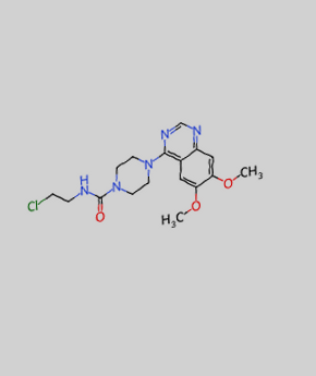 COc1cc2ncnc(N3CCN(C(=O)NCCCl)CC3)c2cc1OC